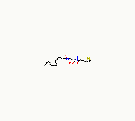 CC/C=C\C/C=C\C/C=C\C/C=C\C/C=C\CCCC(=O)NCCC[C@H](NC(=O)CCCCC1CCSS1)C(=O)O